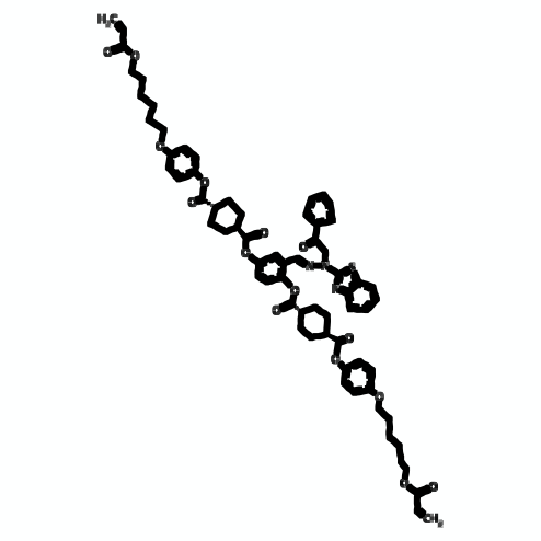 C=CC(=O)OCCCCCCOc1ccc(OC(=O)[C@H]2CC[C@H](C(=O)Oc3ccc(OC(=O)[C@H]4CC[C@H](C(=O)Oc5ccc(OCCCCCCOC(=O)C=C)cc5)CC4)c(/C=N/N(CC(=O)c4ccccc4)c4nc5ccccc5s4)c3)CC2)cc1